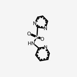 O=S(=O)(Nc1ccccn1)c1ncccn1